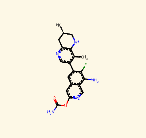 Cc1c(-c2cc3cc(OC(N)=O)ncc3c(N)c2F)cnc2c1NC[C@H](C#N)C2